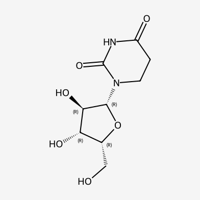 O=C1CCN([C@@H]2O[C@H](CO)[C@H](O)[C@H]2O)C(=O)N1